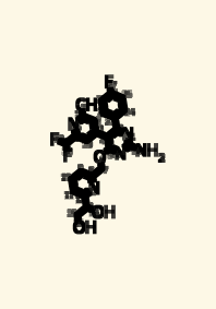 Cc1cc(-c2c(OCc3cccc(C(O)CO)n3)nc(N)nc2-c2ccc(F)cc2)cc(C(F)F)n1